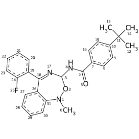 CN1OC(NC(=O)c2ccc(C(C)(C)C)cc2)N=C(c2ccccc2F)c2ccccc21